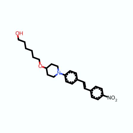 O=[N+]([O-])c1ccc(/C=C/c2ccc(N3CCC(OCCCCCCO)CC3)cc2)cc1